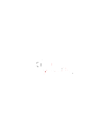 CCCCC(CC)COB1OCC(COCC(O)COC(=O)CCc2cc(C(C)(C)C)c(O)c(C(C)(C)C)c2)O1